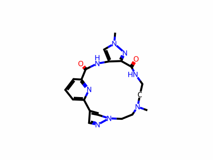 CN1CCNC(=O)c2nn(C)cc2NC(=O)c2cccc(n2)-c2cnn(c2)CC1